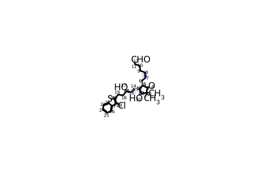 CC1(C)C(=O)[C@H](C/C=C\CCCC=O)[C@@H](/C=C/[C@H](O)CCc2sc3ccccc3c2Cl)[C@@H]1O